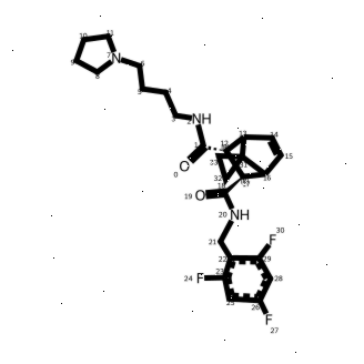 O=C(NCCCCN1CCCC1)[C@@H]1C2C=CC([C@H]1C(=O)NCc1c(F)cc(F)cc1F)C21CC1